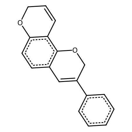 C1=Cc2c(ccc3c2OCC(c2ccccc2)=C3)OC1